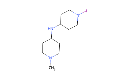 CN1CCC(NC2CCN(I)CC2)CC1